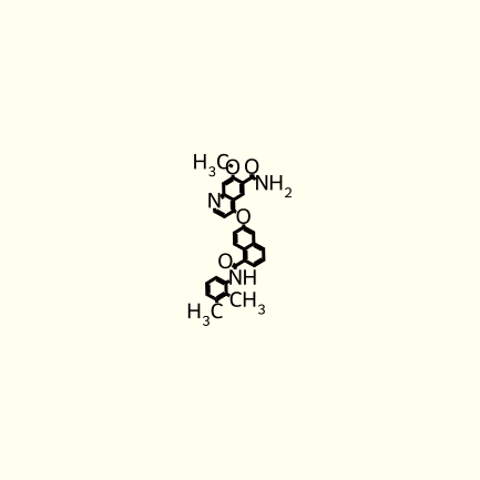 COc1cc2nccc(Oc3ccc4c(C(=O)Nc5cccc(C)c5C)cccc4c3)c2cc1C(N)=O